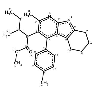 CCC(C)C(C(=O)OC)c1c(C)nc2sc3c(c2c1-c1ccc(C)cc1)CCCC3